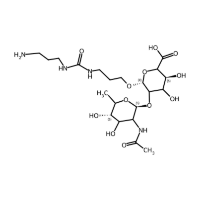 CC(=O)NC1C(O)[C@H](O)C(C)O[C@H]1OC1C(O)[C@H](O)C(C(=O)O)O[C@H]1OCCCNC(=O)NCCCN